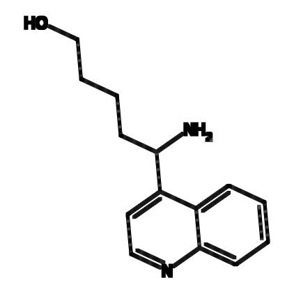 NC(CCCCO)c1ccnc2ccccc12